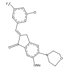 COc1cc2c(cc1N1CCOCC1)CC(=Cc1cc(Cl)cc(C(F)(F)F)c1)C2=O